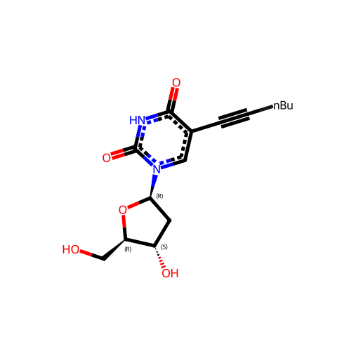 CCCCC#Cc1cn([C@H]2C[C@H](O)[C@@H](CO)O2)c(=O)[nH]c1=O